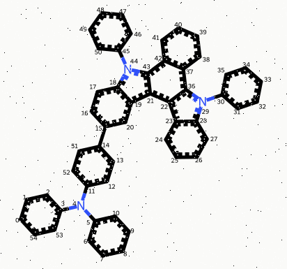 c1ccc(N(c2ccccc2)c2ccc(-c3ccc4c(c3)c3c5c6ccccc6n(-c6ccccc6)c5c5ccccc5c3n4-c3ccccc3)cc2)cc1